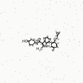 Cc1[nH]c2c(-c3cc(F)ccc3OCC3CC3)ncnc2c1C(=O)N[C@H]1CC[C@@H](O)CC1